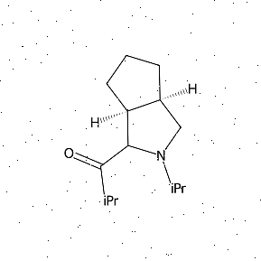 CC(C)C(=O)C1[C@H]2CCC[C@H]2CN1C(C)C